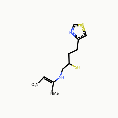 CNC(=C[N+](=O)[O-])NCC(S)CCc1cscn1